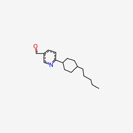 CCCCCC1CCC(c2ccc(C=O)cn2)CC1